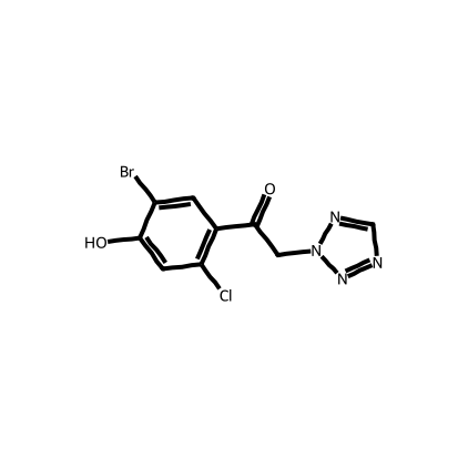 O=C(Cn1ncnn1)c1cc(Br)c(O)cc1Cl